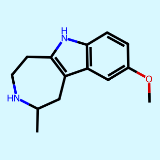 COc1ccc2[nH]c3c(c2c1)CC(C)NCC3